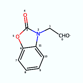 O=[C]Cn1c(=O)oc2ccccc21